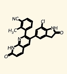 Cc1c(C#N)cccc1-c1nc2[nH]c(=O)ccc2cc1-c1cc(Cl)c2c(c1)CC(=O)N2